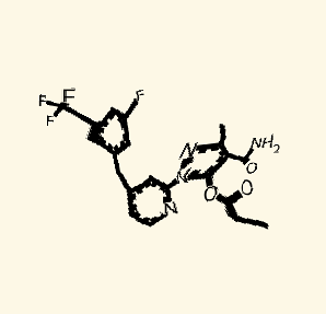 CCC(=O)Oc1c(C(N)=O)c(C)nn1-c1cc(Cc2cc(F)cc(C(F)(F)F)c2)ccn1